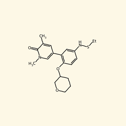 CCSNc1ccc(OC2CCCOC2)c(-c2cc(C)c(=O)n(C)c2)c1